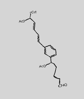 CCCCCCCCC(/C=C/C=C/c1cccc(C(CCCC=O)OC(C)=O)c1)OC(C)=O